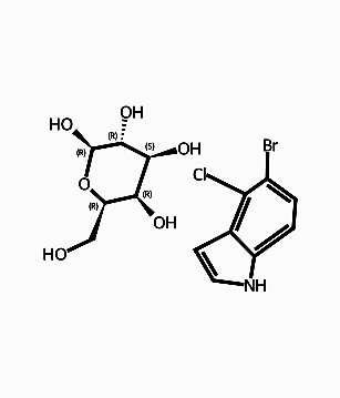 Clc1c(Br)ccc2[nH]ccc12.OC[C@H]1O[C@@H](O)[C@H](O)[C@@H](O)[C@H]1O